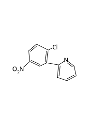 O=[N+]([O-])c1ccc(Cl)c(-c2ccccn2)c1